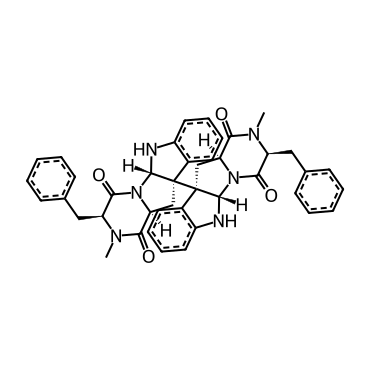 CN1C(=O)[C@@H]2C[C@@]3([C@@]45C[C@H]6C(=O)N(C)[C@@H](Cc7ccccc7)C(=O)N6[C@@H]4Nc4ccccc45)c4ccccc4N[C@H]3N2C(=O)[C@@H]1Cc1ccccc1